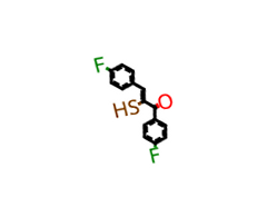 O=C(C(S)=Cc1ccc(F)cc1)c1ccc(F)cc1